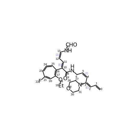 C=C/C=C(\C=C/CNC(=O)/C(=C/C=C\NC=O)C1=C(OCC)C=C(F)C=C=C1)N1CCOCC1